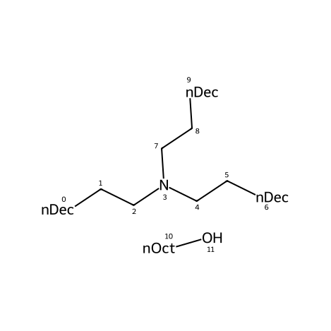 CCCCCCCCCCCCN(CCCCCCCCCCCC)CCCCCCCCCCCC.CCCCCCCCO